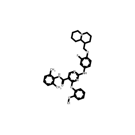 CCOc1ccccc1Oc1nc(Nc2ccc(OCC3CCCN4CCCCC34)c(F)c2)ncc1C(=O)Nc1c(C)cccc1C